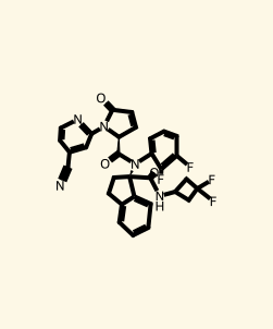 N#Cc1ccnc(N2C(=O)C=C[C@H]2C(=O)N(c2cccc(F)c2F)[C@@]2(C(=O)NC3CC(F)(F)C3)CCc3ccccc32)c1